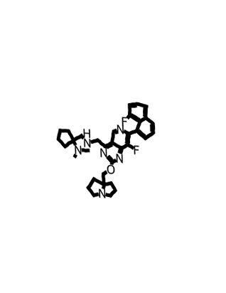 CN(C)C1(CNCc2nc(OCC34CCCN3CCC4)nc3c(F)c(-c4cccc5cccc(F)c45)ncc23)CCCC1